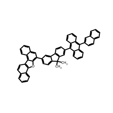 CC1(C)c2ccc(-c3cc4ccccc4c4c3oc3c5ccccc5ccc34)cc2-c2ccc(-c3c4ccccc4c(-c4ccc5ccccc5c4)c4ccccc34)cc21